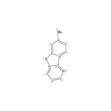 CC(C)(C)c1ccc2c(c1)oc1cccnc12